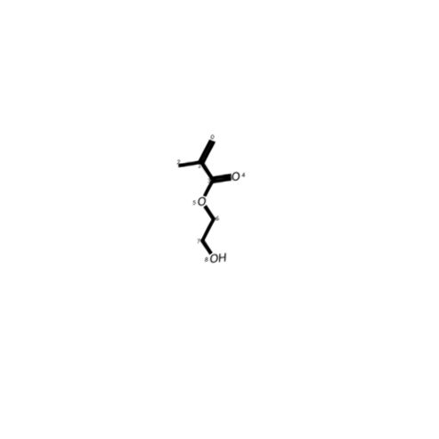 C=C(C)C(=O)O[CH]CO